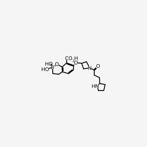 O=C(O)c1c(OC2CN(C(=O)CCC3CCCN3)C2)ccc2c1O[B-](O)(O)CC2